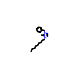 CCCCCCCCC[n+]1ccn(Cc2ccccc2)c1C